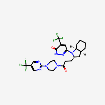 O=C(CC[C@@H]1C[C@@H]2CCCC[C@@H]2N1c1cc(C(F)(F)F)c(=O)[nH]n1)N1CCN(c2ncc(C(F)(F)F)cn2)CC1